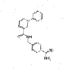 N=C(N)c1ccc(CNC(=O)c2cc(-c3ccccc3)ccn2)cc1